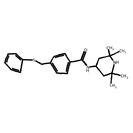 CC1(C)CC(NC(=O)c2ccc(CSc3ccccc3)cc2)CC(C)(C)N1